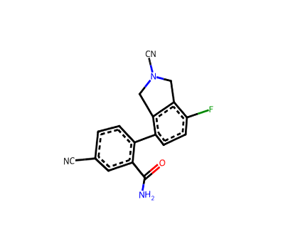 N#Cc1ccc(-c2ccc(F)c3c2CN(C#N)C3)c(C(N)=O)c1